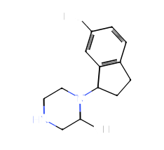 CC1CNCCN1C1CCc2ccc(C(F)(F)F)cc21